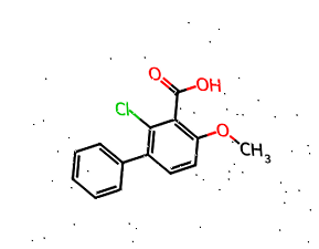 COc1ccc(-c2ccccc2)c(Cl)c1C(=O)O